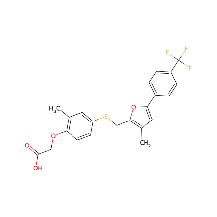 Cc1cc(SCc2oc(-c3ccc(C(F)(F)F)cc3)cc2C)ccc1OCC(=O)O